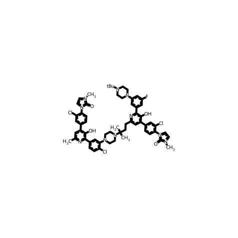 Cc1cc(-c2ccc(-n3ccn(C)c3=O)c(Cl)c2)c(O)c(-c2ccc(Cl)c(N3CCN(C(C)(C)CCc4cc(-c5ccc(-n6ccn(C)c6=O)c(Cl)c5)c(O)c(-c5cc(F)cc(N6CCN(C(C)(C)C)CC6)c5)n4)CC3)c2)n1